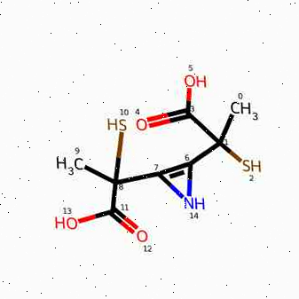 CC(S)(C(=O)O)C1=C(C(C)(S)C(=O)O)N1